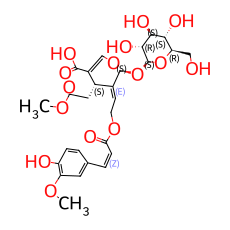 COC(=O)C[C@@H]1C(C(=O)O)=CO[C@@H](O[C@@H]2O[C@H](CO)[C@@H](O)[C@H](O)[C@H]2O)/C1=C/COC(=O)/C=C\c1ccc(O)c(OC)c1